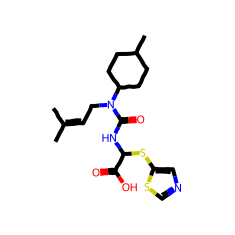 CC(C)=CCN(C(=O)NC(Sc1cncs1)C(=O)O)C1CCC(C)CC1